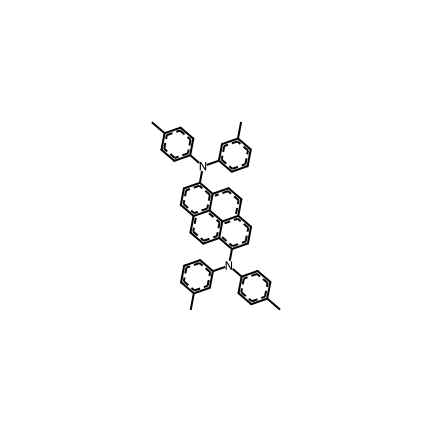 Cc1ccc(N(c2cccc(C)c2)c2ccc3ccc4c(N(c5ccc(C)cc5)c5cccc(C)c5)ccc5ccc2c3c54)cc1